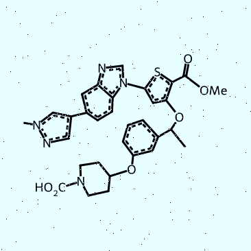 COC(=O)c1sc(-n2cnc3cc(-c4cnn(C)c4)ccc32)cc1OC(C)c1cccc(OC2CCN(C(=O)O)CC2)c1